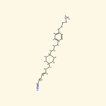 CCCCCc1ccc(CCCCC2CCC(CCC=CC=CC#N)CC2)cc1